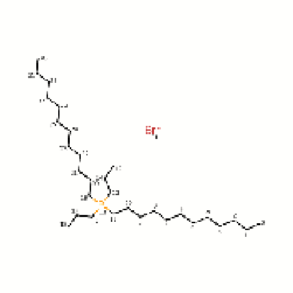 CCCCCCCCCCCC[P+](CCC)(CCC)CCCCCCCCCCCC.[Br-]